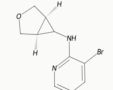 Brc1cccnc1NC1[C@H]2COC[C@@H]12